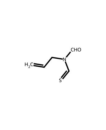 C=CCN(C=O)C=S